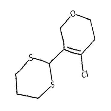 ClC1=C(C2SCCCS2)COCC1